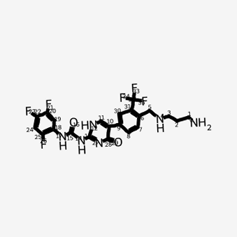 NCCCNCc1ccc(-c2c[nH]c(NC(=O)Nc3cc(F)c(F)cc3F)nc2=O)cc1C(F)(F)F